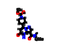 CON(C)C(=O)c1cnn2c(C3CCN(C(=O)OC(C)(C)C)CC3)cc(=O)[nH]c12